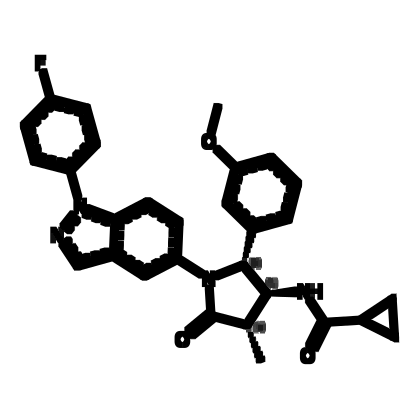 COc1cccc([C@@H]2[C@@H](NC(=O)C3CC3)[C@H](C)C(=O)N2c2ccc3c(cnn3-c3ccc(F)cc3)c2)c1